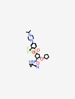 CC(C)N1CCN(c2ccc(S(=O)(=O)[C@@H]3C[C@H](OC4CCCC4)[C@@H](C(=O)NC4(C#N)CC4)C3)c(C(F)(F)F)c2)CC1